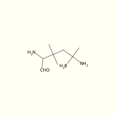 BC(C)(N)CC(C)(C)C(N)C=O